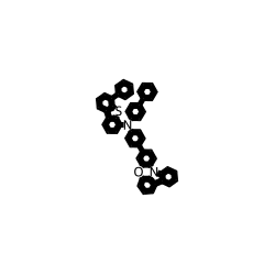 c1ccc(-c2ccc(N(c3ccc(-c4ccc5c(c4)Oc4cccc6c7ccccc7n-5c46)cc3)c3cccc4c3sc3c(-c5ccccc5)cccc34)cc2)cc1